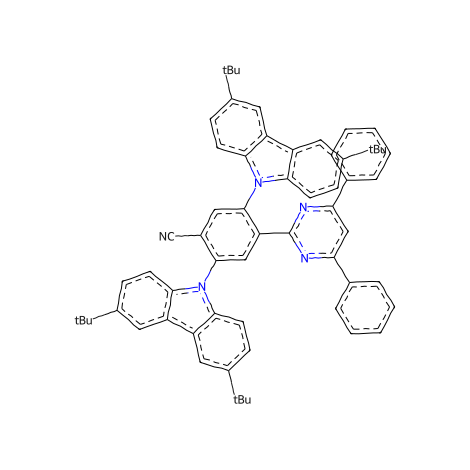 CC(C)(C)c1ccc2c(c1)c1cc(C(C)(C)C)ccc1n2-c1cc(-c2nc(-c3ccccc3)cc(-c3ccccc3)n2)c(-n2c3ccc(C(C)(C)C)cc3c3cc(C(C)(C)C)ccc32)cc1C#N